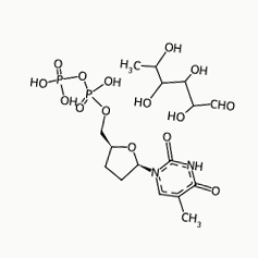 CC(O)C(O)C(O)C(O)C=O.Cc1cn([C@H]2CC[C@@H](COP(=O)(O)OP(=O)(O)O)O2)c(=O)[nH]c1=O